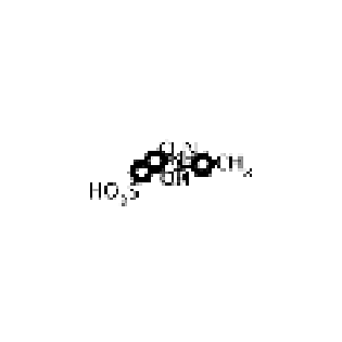 Cc1ccc(C(=O)Nc2ccc3ccc(S(=O)(=O)O)cc3c2O)c([N+](=O)[O-])c1